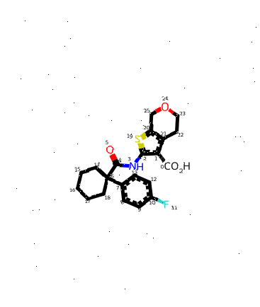 O=C(O)c1c(NC(=O)C2(c3ccc(F)cc3)CCCCC2)sc2c1CCOC2